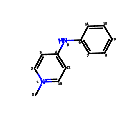 C[n+]1ccc(Nc2ccccc2)cc1